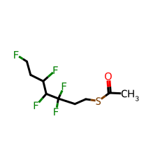 CC(=O)SCCC(F)(F)C(F)C(F)CCF